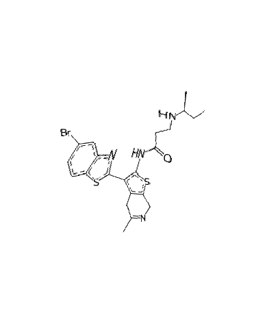 CC[C@H](C)NCCC(=O)Nc1sc2c(c1-c1nc3cc(Br)ccc3s1)CC(C)=NC2